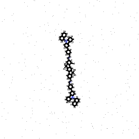 Cc1cc(/C=C/c2ccc(-c3ccc4c(c3)c3ccccc3n4-c3cccc4ccccc34)cc2)cc2c1-c1cc3c(cc1C2(C)C)-c1ccc(/C=C/c2ccc(-c4ccc5c(c4)c4ccccc4n5-c4cccc5ccccc45)cc2)cc1C3(C)C